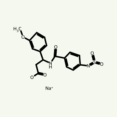 COc1cccc(C(CC(=O)[O-])NC(=O)c2ccc(N=S(=O)=O)cc2)c1.[Na+]